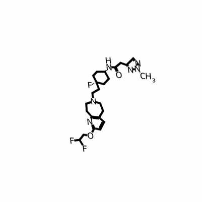 Cn1ncc(CC(=O)N[C@H]2CC[C@](F)(CCN3CCc4ccc(OCC(F)F)nc4CC3)CC2)n1